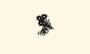 CCOC(=O)/C(=N/OC(CC)C(=O)O)c1csc(NC(c2ccccc2)(c2ccccc2)c2ccccc2)n1